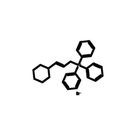 C(=CC1CCCCC1)C[P+](c1ccccc1)(c1ccccc1)c1ccccc1.[Br-]